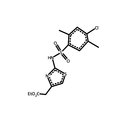 CCOC(=O)Cc1csc(NS(=O)(=O)c2cc(C)c(Cl)cc2C)n1